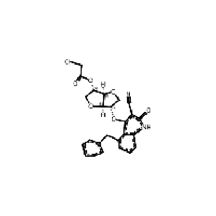 N#Cc1c(O[C@H]2CO[C@H]3[C@@H]2OC[C@@H]3OC(=O)CCl)c2c(Cc3ccccc3)cccc2[nH]c1=O